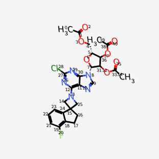 CC(=O)OC[C@H]1O[C@@H](n2cnc3c(N4CC5(CCc6c(F)cccc65)C4)nc(Cl)nc32)C(OC(C)=O)C1OC(C)=O